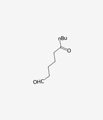 CCCCC(=O)CCCCC=O